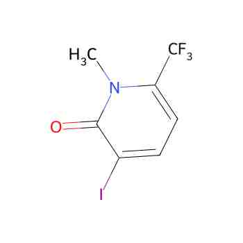 Cn1c(C(F)(F)F)ccc(I)c1=O